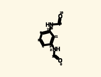 O=[C]Nc1cccc(N[C]=O)c1